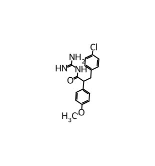 COc1ccc(C(Cc2ccc(Cl)cc2)C(=O)NC(=N)N)cc1